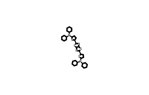 c1ccc(N(c2ccccc2)c2ccc(-c3nc4sc(-c5ccc(N(c6ccccc6)c6ccccc6)s5)nc4s3)s2)cc1